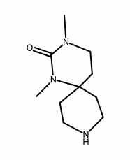 CN1CCC2(CCNCC2)N(C)C1=O